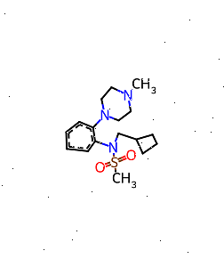 CN1CCN(c2ccccc2N(CC2CCC2)S(C)(=O)=O)CC1